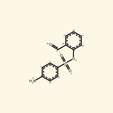 Nc1ccc(S(=O)(=O)Oc2ccccc2C=O)cc1